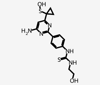 Nc1cc(C2(SO)CC2)nc(-c2ccc(NC(=S)NCCO)cc2)n1